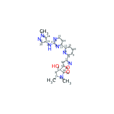 C[C@@H]1C[C@@](O)(c2cc(-c3cccc(-c4ccnc(Nc5cnn(C)c5)n4)n3)no2)C(=O)N1C